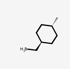 BC[C@H]1CC[C@H](C)CC1